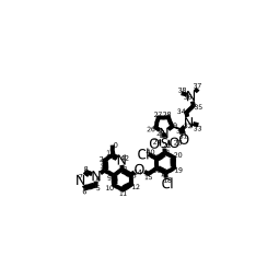 Cc1cc(-n2ccnc2)c2cccc(OCc3c(Cl)ccc(S(=O)(=O)N4CCC[C@H]4C(=O)N(C)CCN(C)C)c3Cl)c2n1